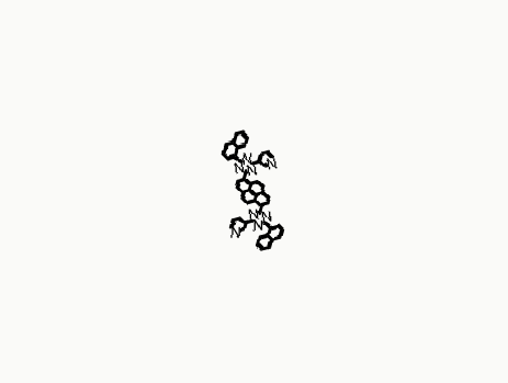 c1cncc(-c2nc(-c3cccc4ccccc34)nc(-c3ccc4ccc5c(-c6nc(-c7cccnc7)nc(-c7cccc8ccccc78)n6)ccc6ccc3c4c65)n2)c1